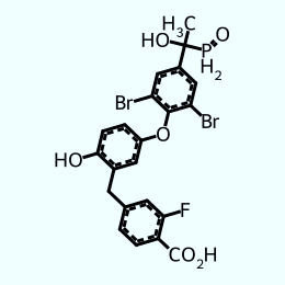 CC(O)([PH2]=O)c1cc(Br)c(Oc2ccc(O)c(Cc3ccc(C(=O)O)c(F)c3)c2)c(Br)c1